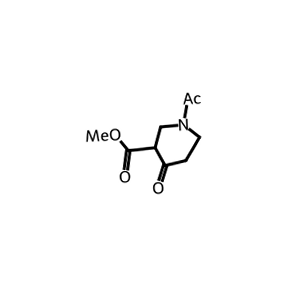 [CH2]C(=O)N1CCC(=O)C(C(=O)OC)C1